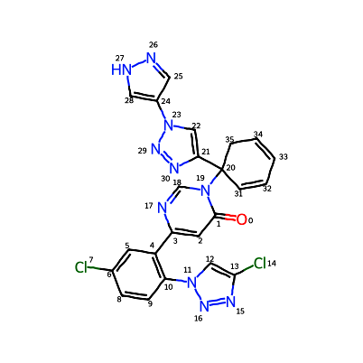 O=c1cc(-c2cc(Cl)ccc2-n2cc(Cl)nn2)ncn1C1(c2cn(-c3cn[nH]c3)nn2)C=CC=CC1